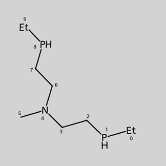 CCPCCN(C)CCPCC